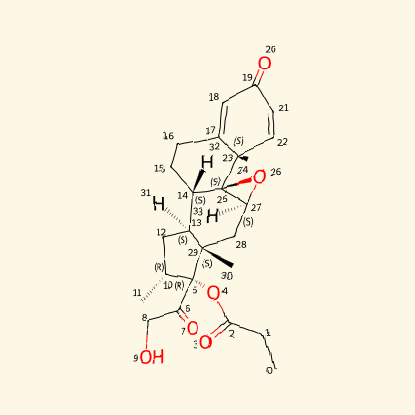 CCC(=O)O[C@]1(C(=O)CO)[C@H](C)C[C@H]2[C@@H]3CCC4=CC(=O)C=C[C@]4(C)[C@@]34O[C@H]4C[C@@]21C